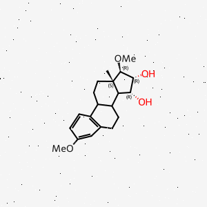 COc1ccc2c(c1)CCC1C2CC[C@@]2(C)C1[C@@H](O)[C@@H](O)[C@@H]2OC